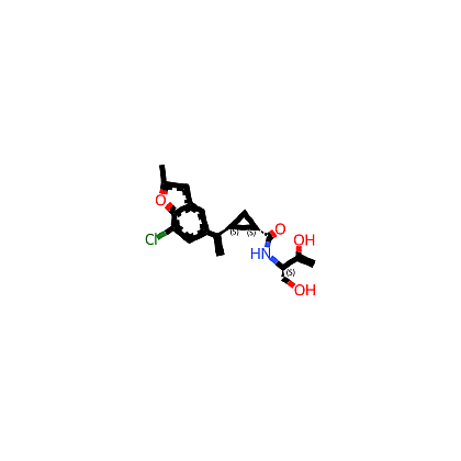 C=C(O)[C@H](CO)NC(=O)[C@H]1C[C@@H]1C(=C)c1cc(Cl)c2oc(C)cc2c1